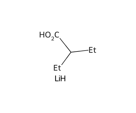 CCC(CC)C(=O)O.[LiH]